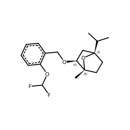 CC(C)[C@@]12CC[C@@](C)(O1)[C@@H](OCc1ccccc1OC(F)F)C2